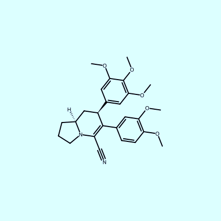 COc1ccc(C2=C(C#N)N3CCC[C@H]3C[C@H]2c2cc(OC)c(OC)c(OC)c2)cc1OC